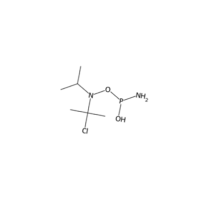 CC(C)N(OP(N)O)C(C)(C)Cl